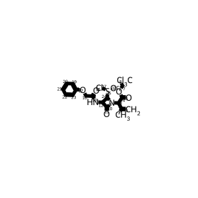 C=C(C)C(C(=O)OCC(Cl)(Cl)Cl)N1C(=O)C(NC(=O)COc2ccccc2)C1[S+]([O-])Cl